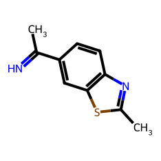 CC(=N)c1ccc2nc(C)sc2c1